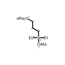 CCCCCCCC[Si](CC)(CC)OC